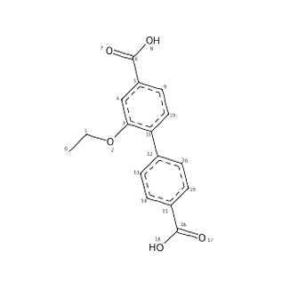 CCOc1cc(C(=O)O)ccc1-c1ccc(C(=O)O)cc1